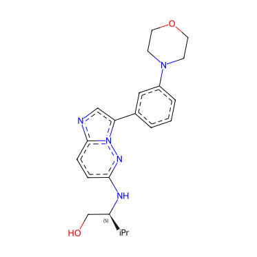 CC(C)[C@@H](CO)Nc1ccc2ncc(-c3cccc(N4CCOCC4)c3)n2n1